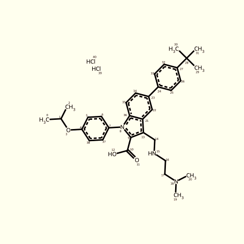 CC(C)Oc1ccc(-n2c(C(=O)O)c(CNCCN(C)C)c3cc(-c4ccc(C(C)(C)C)cc4)ccc32)cc1.Cl.Cl